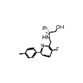 Cc1ccc(-c2ccc(F)c(CN[C@@H](CO)C(C)C)n2)cc1